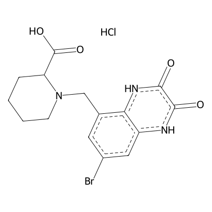 Cl.O=C(O)C1CCCCN1Cc1cc(Br)cc2[nH]c(=O)c(=O)[nH]c12